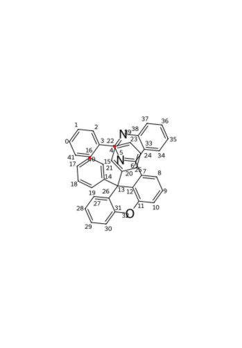 c1ccc(-c2nc(-c3cccc4c3C(c3ccccc3)(c3ccccc3)c3ccccc3O4)c3ccccc3n2)cc1